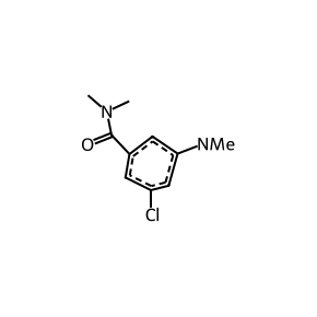 CNc1cc(Cl)cc(C(=O)N(C)C)c1